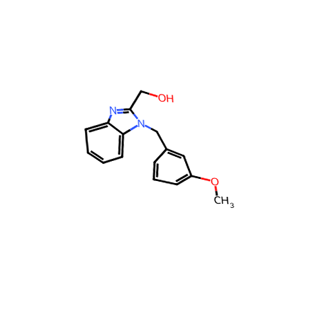 COc1cccc(Cn2c(CO)nc3ccccc32)c1